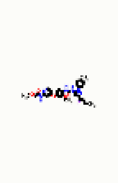 CCCC(I)c1cc(NC(=O)Nc2ccc(Oc3ccnc(NC(=O)COC)c3)cc2OC)n(-c2ccc(C)cc2)n1